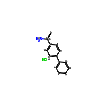 C[C@H](N)c1ccc(-c2ccccc2)cc1.Cl